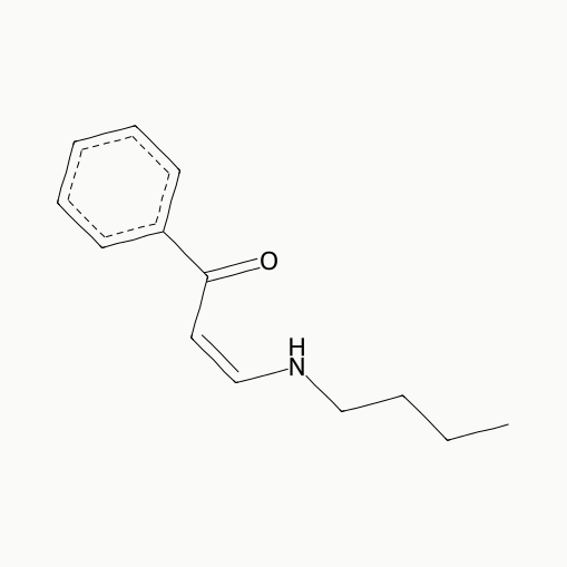 CCCCN/C=C\C(=O)c1ccccc1